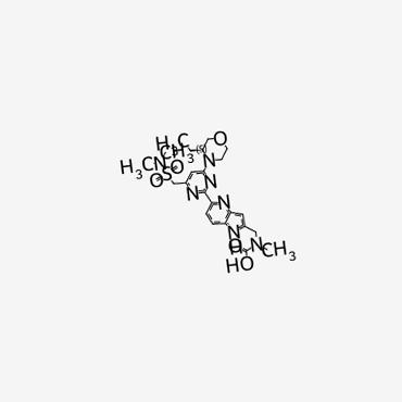 CC[C@H]1COCCN1c1cc(CS(=O)(=O)N(C)C)nc(-c2ccc3[nH]c(CN(C)C(=O)O)cc3n2)n1